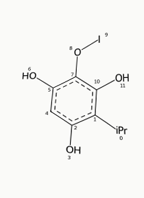 CC(C)c1c(O)cc(O)c(OI)c1O